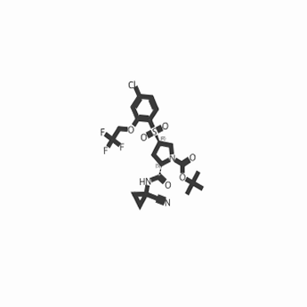 CC(C)(C)OC(=O)N1C[C@H](S(=O)(=O)c2ccc(Cl)cc2OCC(F)(F)F)C[C@H]1C(=O)NC1(C#N)CC1